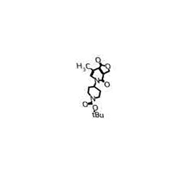 Cc1cn(C2CCN(C(=O)OC(C)(C)C)CC2)c(=O)c2c1C(=O)OC2